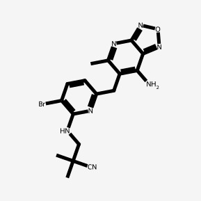 Cc1nc2nonc2c(N)c1Cc1ccc(Br)c(NCC(C)(C)C#N)n1